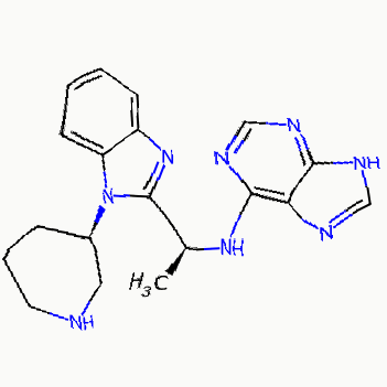 C[C@H](Nc1ncnc2[nH]cnc12)c1nc2ccccc2n1[C@@H]1CCCNC1